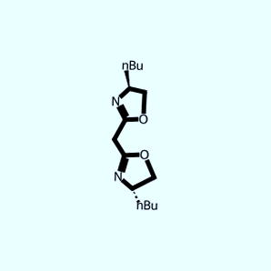 CCCC[C@H]1COC(CC2=N[C@@H](CCCC)CO2)=N1